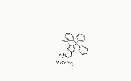 C=Cc1nc(C[C@H](N)C(=O)OC)cn1C(c1ccccc1)(c1ccccc1)c1ccccc1